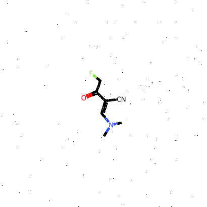 CN(C)/C=C(\C#N)C(=O)CF